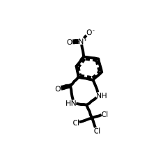 O=C1NC(C(Cl)(Cl)Cl)Nc2ccc([N+](=O)[O-])cc21